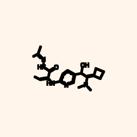 C/C=C(/Nc1ccc(C(O)C(=C2CCC2)N(C)C)cn1)C(=O)NN=C(C)C